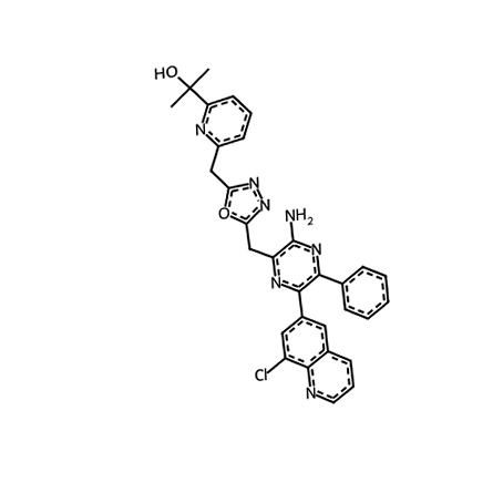 CC(C)(O)c1cccc(Cc2nnc(Cc3nc(-c4cc(Cl)c5ncccc5c4)c(-c4ccccc4)nc3N)o2)n1